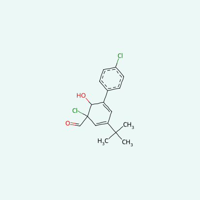 CC(C)(C)C1=CC(Cl)(C=O)C(O)C(c2ccc(Cl)cc2)=C1